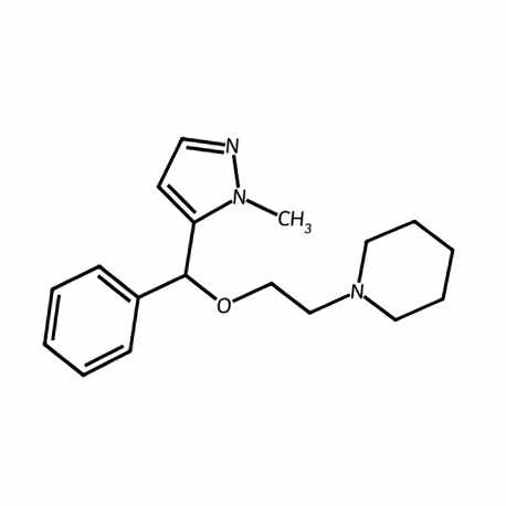 Cn1nccc1C(OCCN1CCCCC1)c1ccccc1